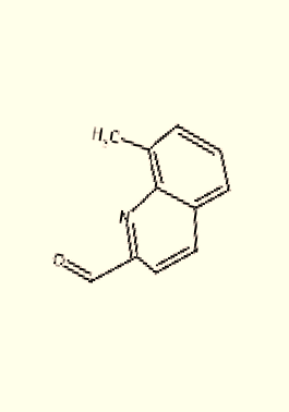 Cc1cccc2ccc(C=O)nc12